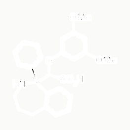 COc1cc(OC)cc(O[C@H](C(=O)O)[C@@]2(c3ccccc3)NCCCc3ccccc32)c1